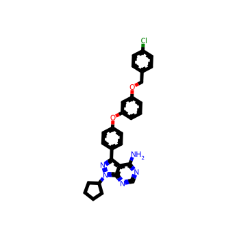 Nc1ncnc2c1c(-c1ccc(Oc3cccc(OCc4ccc(Cl)cc4)c3)cc1)nn2C1CCCC1